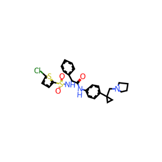 O=C(Nc1ccc(C2(CN3CCCC3)CC2)cc1)C(NS(=O)(=O)c1ccc(Cl)s1)c1ccccc1